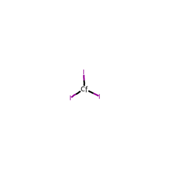 [I][Cf]([I])[I]